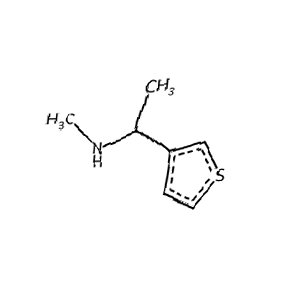 CNC(C)c1ccsc1